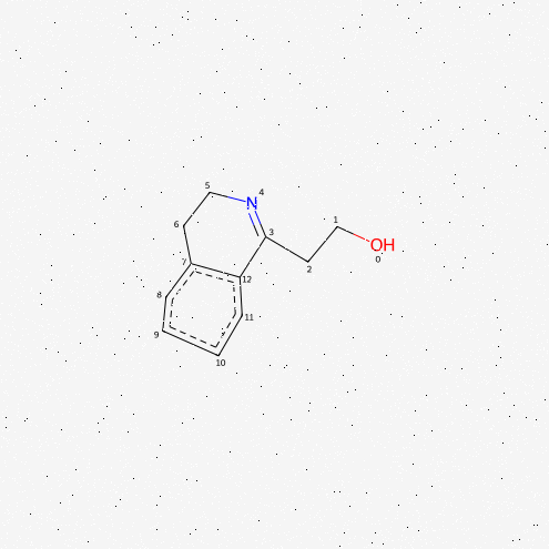 OCCC1=NCCc2ccccc21